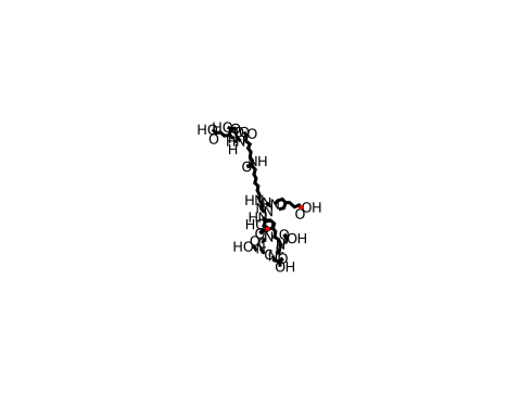 O=C(O)CCCC1CCN(c2nc(NCCCCCCCC(=O)NCCCCC(NC(=O)NC(CCC(=O)O)C(=O)O)C(=O)O)nc(Nc3ccc(CC4CN(CC(=O)O)CCN(CC(=O)O)CCN(CC(=O)O)CCN4CC(=O)O)cc3)n2)CC1